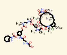 COc1cc2cc(c1Cl)N(C)C(=O)C[C@H](OC(=O)[C@H](C)N(C)C(=O)CCOC(=O)N(C)CCN(C)C(=O)OCc1ccc(OC(=O)NC3/C=C/CCCCC3)c(NC(=O)CCNC(=O)CBr)c1)[C@]1(C)OC1[C@H](C)[C@@H]1C[C@@](O)(NC(=O)O1)[C@H](OC)/C=C/C=C(\C)C2